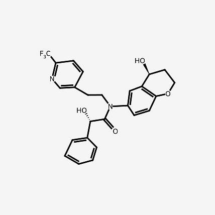 O=C([C@@H](O)c1ccccc1)N(CCc1ccc(C(F)(F)F)nc1)c1ccc2c(c1)[C@@H](O)CCO2